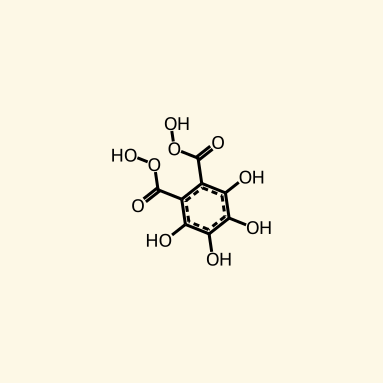 O=C(OO)c1c(O)c(O)c(O)c(O)c1C(=O)OO